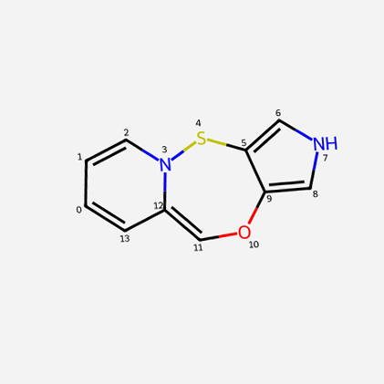 c1ccn2sc3c[nH]cc3occ2c1